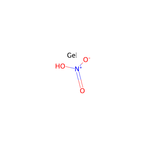 O=[N+]([O-])O.[Ge]